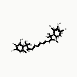 CN1/C(=C/C=C/C=C/C=C/C2=Nc3cc(I)c(I)c(I)c3C2(C)C)C(C)(C)c2c1cc(I)c(I)c2I